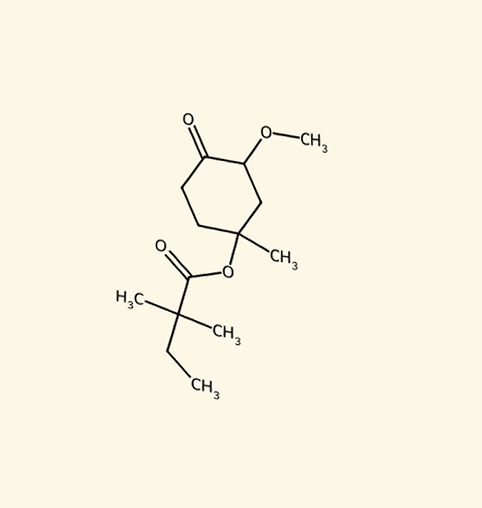 CCC(C)(C)C(=O)OC1(C)CCC(=O)C(OC)C1